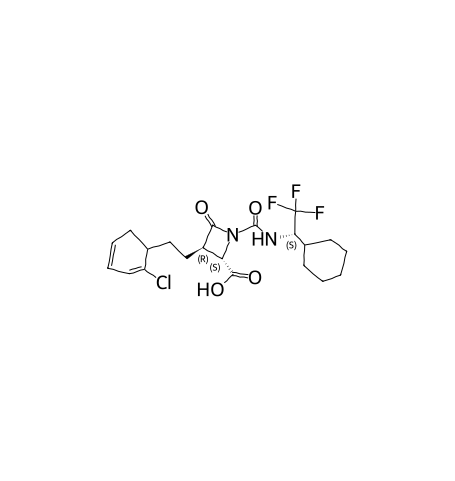 O=C(O)[C@@H]1[C@@H](CCC2CC=CC=C2Cl)C(=O)N1C(=O)N[C@@H](C1CCCCC1)C(F)(F)F